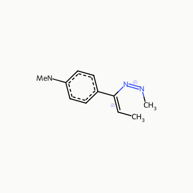 C/C=C(\N=N/C)c1ccc(NC)cc1